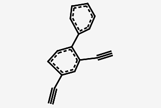 C#Cc1ccc(-c2ccccc2)c(C#C)c1